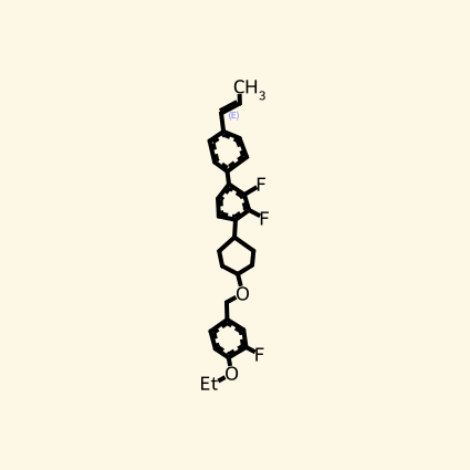 C/C=C/c1ccc(-c2ccc(C3CCC(OCc4ccc(OCC)c(F)c4)CC3)c(F)c2F)cc1